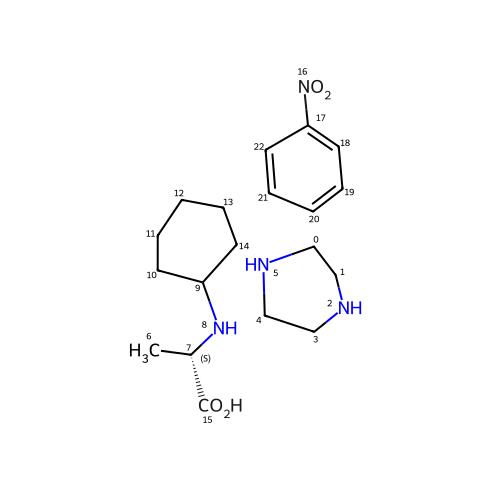 C1CNCCN1.C[C@H](NC1CCCCC1)C(=O)O.O=[N+]([O-])c1ccccc1